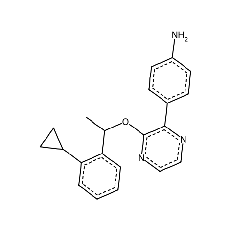 CC(Oc1nccnc1-c1ccc(N)cc1)c1ccccc1C1CC1